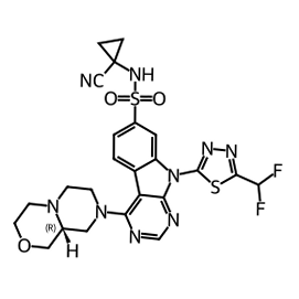 N#CC1(NS(=O)(=O)c2ccc3c4c(N5CCN6CCOC[C@H]6C5)ncnc4n(-c4nnc(C(F)F)s4)c3c2)CC1